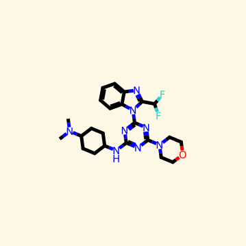 CN(C)C1CCC(Nc2nc(N3CCOCC3)nc(-n3c(C(F)F)nc4ccccc43)n2)CC1